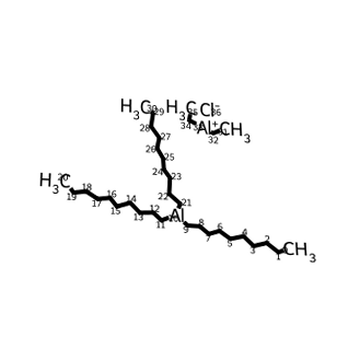 CCCCCCCCC[CH2][Al]([CH2]CCCCCCCCC)[CH2]CCCCCCCCC.C[CH2][Al+][CH2]C.[Cl-]